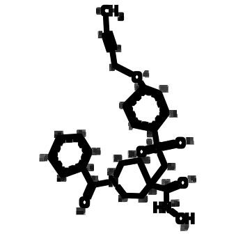 CC#CCOc1ccc(S(=O)(=O)CC2(C(=O)NO)CCN(C(=O)c3ccccc3)CC2)cc1